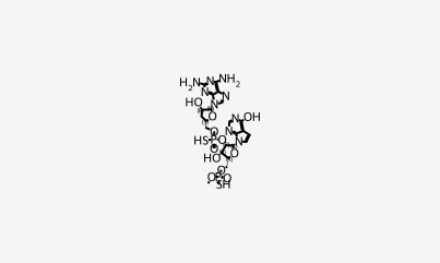 COP(=O)(S)OC[C@H]1O[C@@H](n2ccc3c(O)ncnc32)[C@H](OP(=O)(S)OC[C@@H]2C[C@@H](O)[C@H](n3cnc4c(N)nc(N)nc43)O2)[C@@H]1O